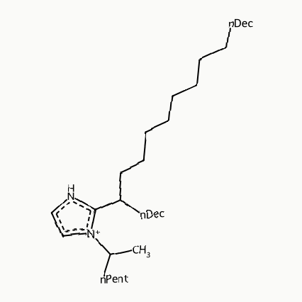 CCCCCCCCCCCCCCCCCCC(CCCCCCCCCC)c1[nH]cc[n+]1C(C)CCCCC